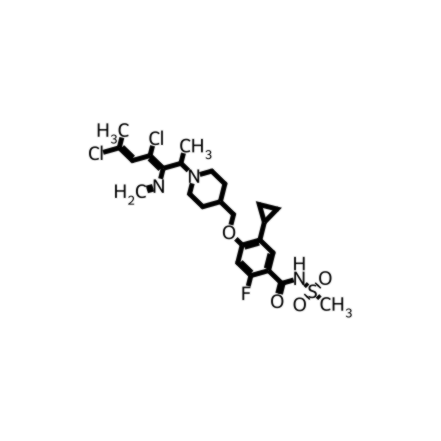 C=N/C(=C(Cl)\C=C(/C)Cl)C(C)N1CCC(COc2cc(F)c(C(=O)NS(C)(=O)=O)cc2C2CC2)CC1